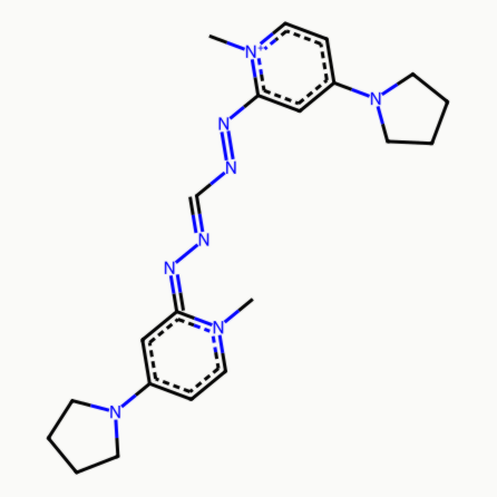 Cn1ccc(N2CCCC2)cc1=NN=CN=Nc1cc(N2CCCC2)cc[n+]1C